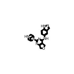 c1cc2[nH]ncc2cc1Nc1nc(N2C3CNCC2C3)nc2c1COC2